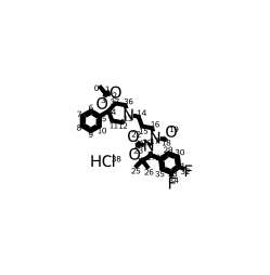 CC(=O)OC1(c2ccccc2)CCN(CCCN(C=O)N2C(=O)OC(C)(C)C2c2ccc(F)c(F)c2)CC1.Cl